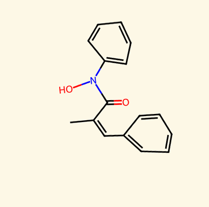 CC(=Cc1ccccc1)C(=O)N(O)c1ccccc1